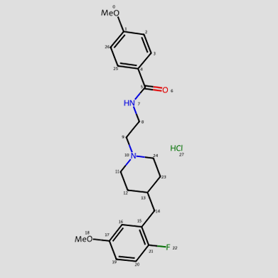 COc1ccc(C(=O)NCCN2CCC(Cc3cc(OC)ccc3F)CC2)cc1.Cl